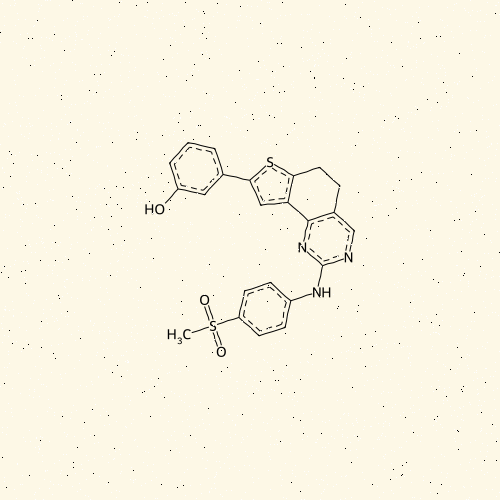 CS(=O)(=O)c1ccc(Nc2ncc3c(n2)-c2cc(-c4cccc(O)c4)sc2CC3)cc1